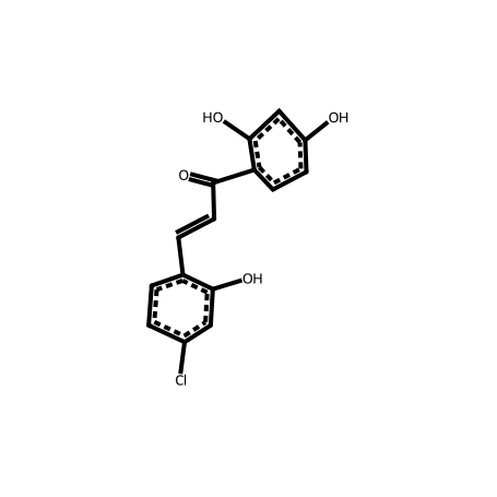 O=C(/C=C/c1ccc(Cl)cc1O)c1ccc(O)cc1O